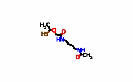 CC(=O)NCCCCNC(=O)COC(C)S